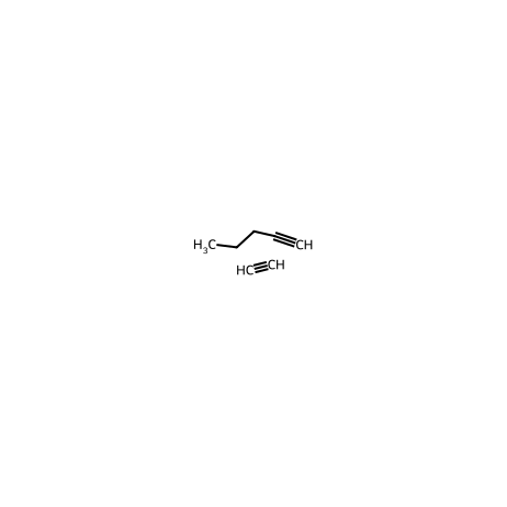 C#C.C#CCCC